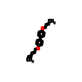 CC=CC=CCOc1ccc(-c2ccc(OCC=CC)cc2)cc1